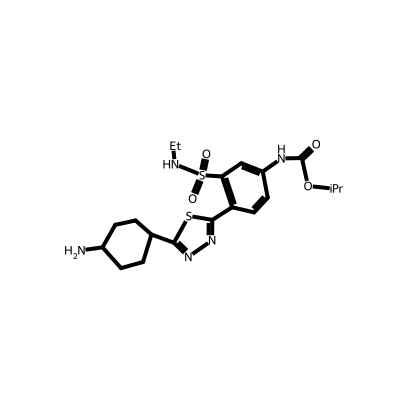 CCNS(=O)(=O)c1cc(NC(=O)OC(C)C)ccc1-c1nnc(C2CCC(N)CC2)s1